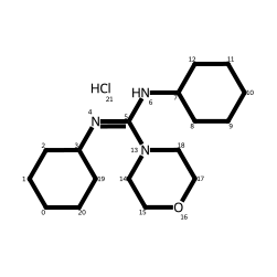 C1CCC(/N=C(/NC2CCCCC2)N2CCOCC2)CC1.Cl